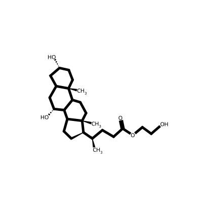 C[C@H](CCC(=O)OCCO)[C@H]1CCC2C3C(CC[C@@]21C)[C@@]1(C)CC[C@@H](O)CC1C[C@H]3O